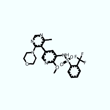 COc1ncc(-c2c(C)ncnc2N2CCOCC2)cc1NS(=O)(=O)c1ccccc1C(F)(F)F